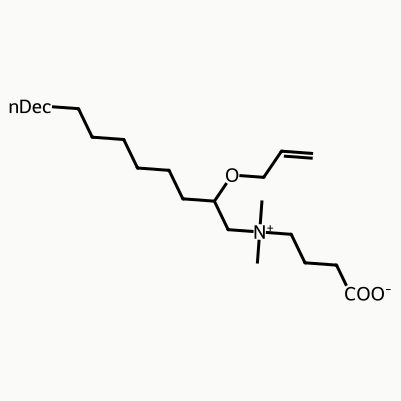 C=CCOC(CCCCCCCCCCCCCCCC)C[N+](C)(C)CCCC(=O)[O-]